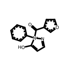 O=C(c1ccoc1)[N+]1(c2ccccc2)N=CC=C1O